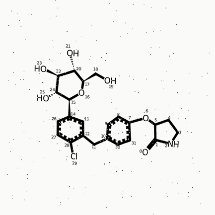 O=C1NCCC1Oc1ccc(Cc2cc([C@@H]3O[C@H](CO)[C@@H](O)[C@H](O)[C@H]3O)ccc2Cl)cc1